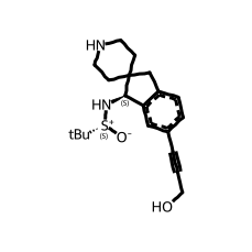 CC(C)(C)[S@@+]([O-])N[C@@H]1c2cc(C#CCO)ccc2CC12CCNCC2